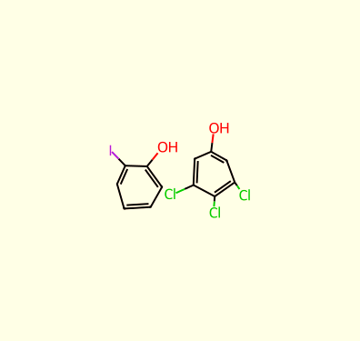 Oc1cc(Cl)c(Cl)c(Cl)c1.Oc1ccccc1I